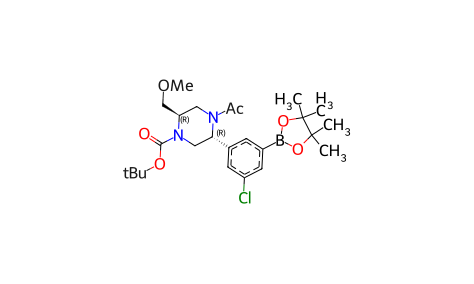 COC[C@H]1CN(C(C)=O)[C@H](c2cc(Cl)cc(B3OC(C)(C)C(C)(C)O3)c2)CN1C(=O)OC(C)(C)C